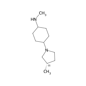 CNC1CCC(N2CC[C@H](C)C2)CC1